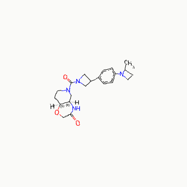 CC1CCN1c1ccc(C2CN(C(=O)N3CC[C@@H]4OCC(=O)N[C@@H]4C3)C2)cc1